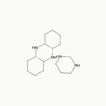 C1CCC2NC3CCCCC3NC2C1.C1CNCNC1